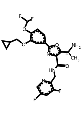 C[C@H](N)c1oc(-c2ccc(OC(F)F)c(OCC3CC3)c2)nc1C(=O)NCc1ncc(F)cc1F